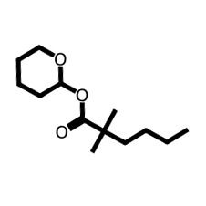 CCCCC(C)(C)C(=O)OC1CCCCO1